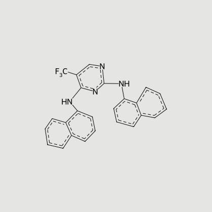 FC(F)(F)c1cnc(Nc2cccc3ccccc23)nc1Nc1cccc2ccccc12